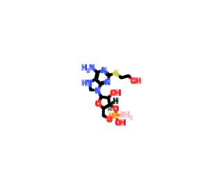 B[PH]1(O)OCC2OC(N3CNc4c(N)nc(SCCO)nc43)C(O)[C@@H]2O1